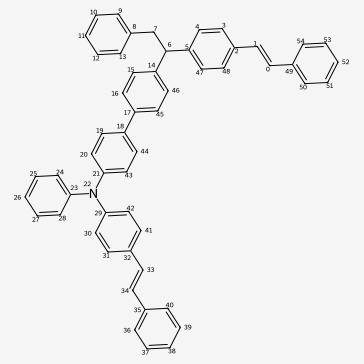 C(=C\c1ccc(C(Cc2ccccc2)c2ccc(-c3ccc(N(c4ccccc4)c4ccc(/C=C/c5ccccc5)cc4)cc3)cc2)cc1)/c1ccccc1